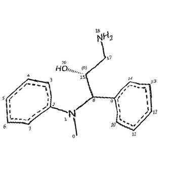 CN(c1ccccc1)C(c1ccccc1)[C@H](O)CN